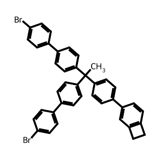 CC(c1ccc(-c2ccc(Br)cc2)cc1)(c1ccc(-c2ccc(Br)cc2)cc1)c1ccc(-c2ccc3c(c2)CC3)cc1